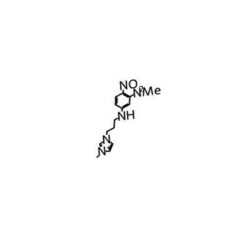 CNc1cc(NCCCn2cc[n+](C)c2)ccc1[N+](=O)[O-]